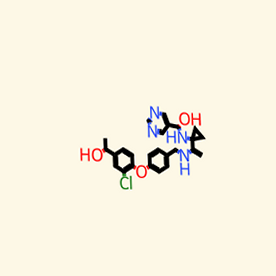 C=C(NCc1ccc(Oc2ccc(C(C)O)cc2Cl)cc1)C1(NC(O)c2cncnc2)CC1